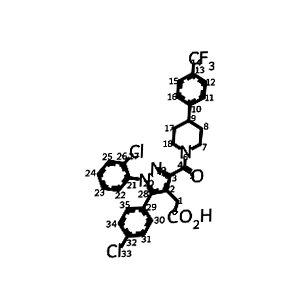 O=C(O)Cc1c(C(=O)N2CCC(c3ccc(C(F)(F)F)cc3)CC2)nn(-c2ccccc2Cl)c1-c1ccc(Cl)cc1